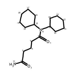 NC(=O)CCCC(=O)N(C1CCCCC1)C1CCCCC1